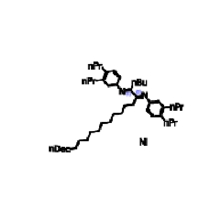 CCCCCCCCCCCCCCCCCCCCCC(=N\c1ccc(CCC)c(CCC)c1)/C(CCCC)=N/c1ccc(CCC)c(CCC)c1.[Ni]